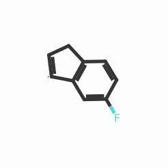 Fc1ccc2c(c1)[C]=CC2